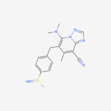 Cc1c(Cc2ccc([S@](C)=N)cc2)c(N(C)C)n2ncnc2c1C#N